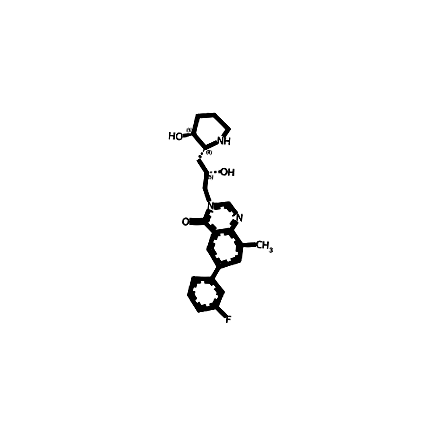 Cc1cc(-c2cccc(F)c2)cc2c(=O)n(C[C@@H](O)C[C@H]3NCCC[C@@H]3O)cnc12